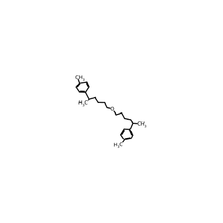 Cc1ccc(C(C)CCCCOCCCCC(C)c2ccc(C)cc2)cc1